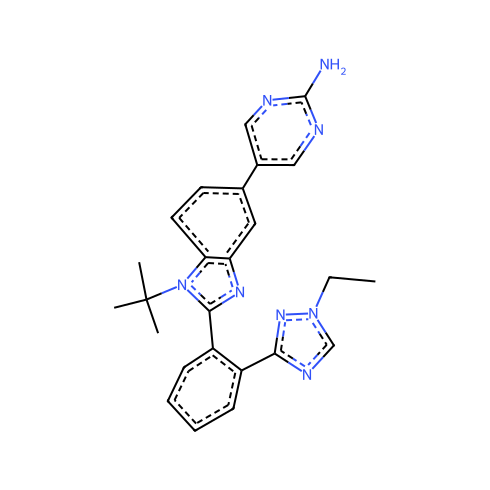 CCn1cnc(-c2ccccc2-c2nc3cc(-c4cnc(N)nc4)ccc3n2C(C)(C)C)n1